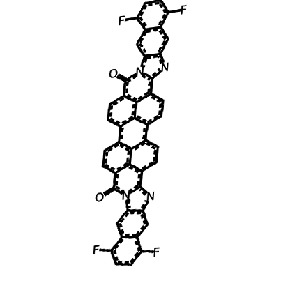 O=c1c2ccc3c4ccc5c(=O)n6c7cc8c(F)ccc(F)c8cc7nc6c6ccc(c7ccc(c2c37)c2nc3cc7c(F)ccc(F)c7cc3n12)c4c56